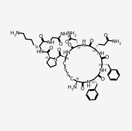 NCCCC[C@@H](NC(=O)[C@@H]1CCCN1C(=O)[C@@H]1CSSC[C@H](N)C(=O)N[C@@H](Cc2ccccc2)C(=O)N[C@@H](Cc2ccccc2)C(=O)N[C@@H](CCC(N)=O)C(=O)N[C@@H](CC(N)=O)C(=O)N1)C(=O)NCC(N)=O